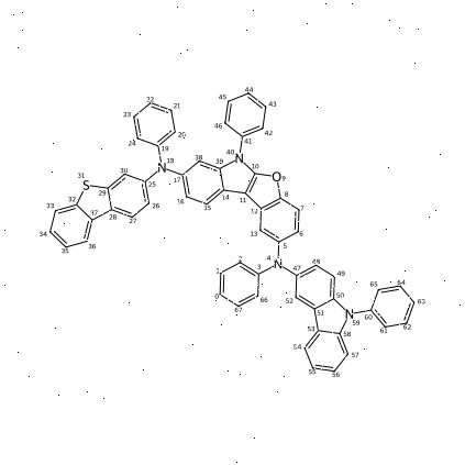 c1ccc(N(c2ccc3oc4c(c3c2)c2ccc(N(c3ccccc3)c3ccc5c(c3)sc3ccccc35)cc2n4-c2ccccc2)c2ccc3c(c2)c2ccccc2n3-c2ccccc2)cc1